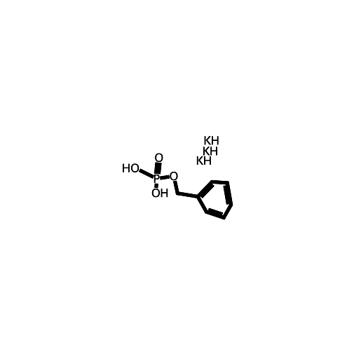 O=P(O)(O)OCc1ccccc1.[KH].[KH].[KH]